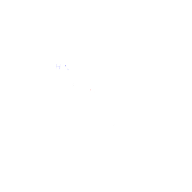 CC1CCCCC1.CCC(N)=O